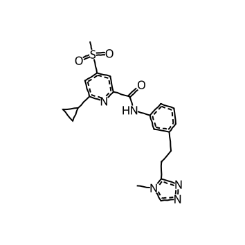 Cn1cnnc1CCc1cccc(NC(=O)c2cc(S(C)(=O)=O)cc(C3CC3)n2)c1